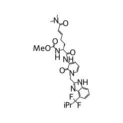 COC(=O)N[C@@H](CC/C=C/C(=O)N(C)C)C(=O)Nc1cccn(Cc2nc3c(C(F)(F)C(C)C)cccc3[nH]2)c1=O